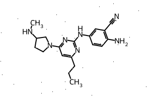 CCCc1cc(N2CCC(NC)C2)nc(Nc2ccc(N)c(C#N)c2)n1